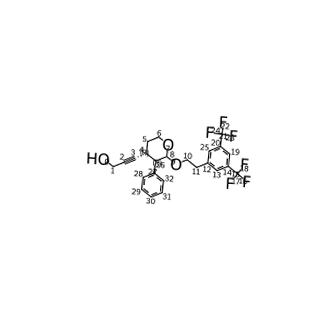 OCC#C[C@@H]1CCOC(OCCc2cc(C(F)(F)F)cc(C(F)(F)F)c2)[C@H]1c1ccccc1